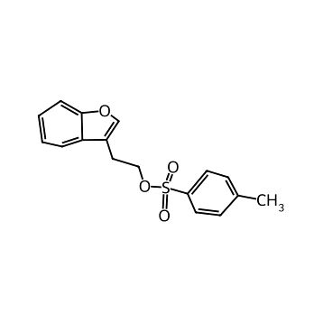 Cc1ccc(S(=O)(=O)OCCc2coc3ccccc23)cc1